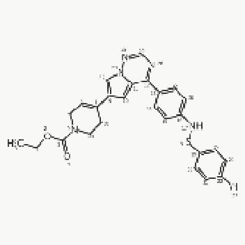 CCOC(=O)N1CC=C(c2cc3c(-c4ccc(NSc5ccc(Cl)cc5)cc4)ncnn3c2)CC1